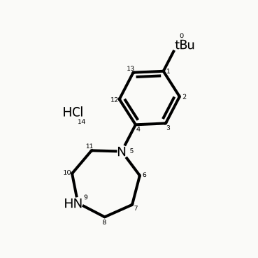 CC(C)(C)c1ccc(N2CCCNCC2)cc1.Cl